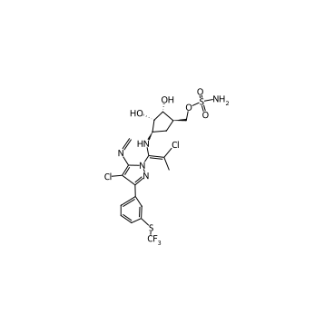 C=Nc1c(Cl)c(-c2cccc(SC(F)(F)F)c2)nn1/C(N[C@@H]1C[C@H](COS(N)(=O)=O)[C@@H](O)[C@H]1O)=C(\C)Cl